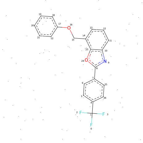 FC(F)(F)c1ccc(-c2nc3cccc(COc4ccccc4)c3o2)cc1